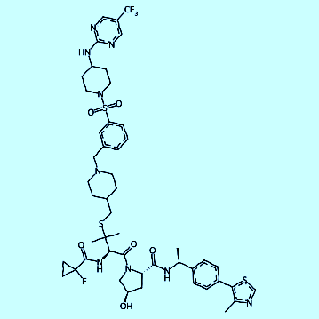 Cc1ncsc1-c1ccc([C@H](C)NC(=O)[C@@H]2C[C@@H](O)CN2C(=O)[C@@H](NC(=O)C2(F)CC2)C(C)(C)SCC2CCN(Cc3cccc(S(=O)(=O)N4CCC(Nc5ncc(C(F)(F)F)cn5)CC4)c3)CC2)cc1